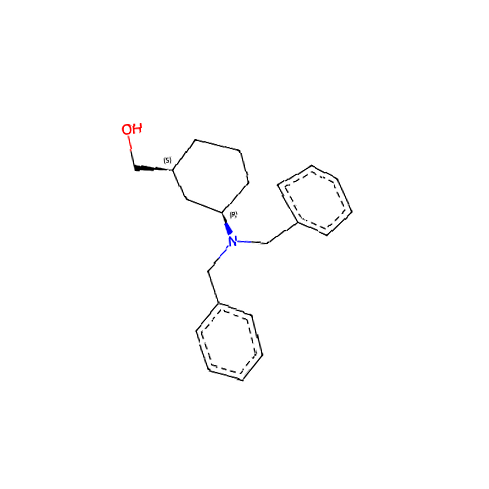 OC[C@H]1CCC[C@@H](N(Cc2ccccc2)Cc2ccccc2)C1